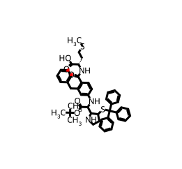 CSCC[C@H](NC(=O)c1ccc(NC(C(=O)OC(C)(C)C)C2NCCC2SC(c2ccccc2)(c2ccccc2)c2ccccc2)cc1Cc1ccccc1)C(=O)O